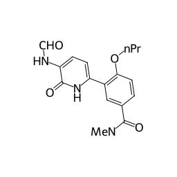 CCCOc1ccc(C(=O)NC)cc1-c1ccc(NC=O)c(=O)[nH]1